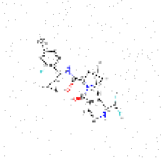 O=C(NC(c1ccc(C(F)(F)F)cc1F)C1CC1)[C@H]1C[C@H]2C[C@H]2N1C(=O)c1ccnc(C(F)F)c1